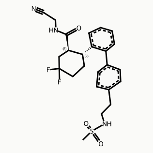 CS(=O)(=O)NCCc1ccc(-c2ccccc2[C@@H]2CCC(F)(F)C[C@H]2C(=O)NCC#N)cc1